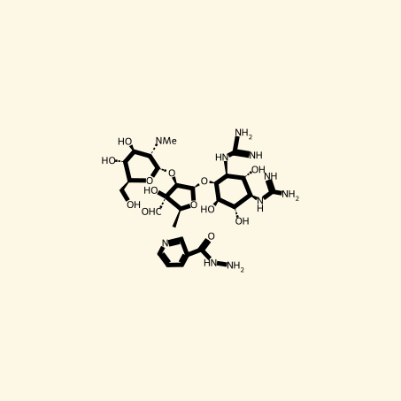 CN[C@@H]1[C@H](O[C@H]2[C@H](O[C@H]3[C@H](O)[C@@H](O)[C@H](NC(=N)N)[C@@H](O)[C@@H]3NC(=N)N)O[C@@H](C)[C@]2(O)C=O)O[C@@H](CO)[C@H](O)[C@H]1O.NNC(=O)c1cccnc1